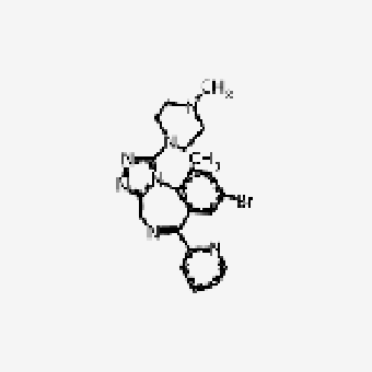 Cc1cc(Br)cc2c1-n1c(nnc1N1CCN(C)CC1)CN=C2c1ccccn1